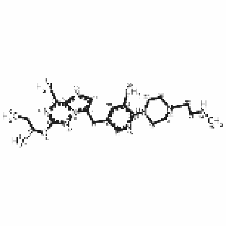 CC[C@@H](C)Oc1nc(N)c2ncc(Cc3cnc(N4CCN(CCNC)CC4)c(C)c3)n2n1